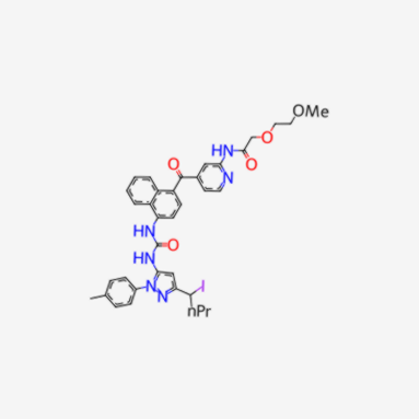 CCCC(I)c1cc(NC(=O)Nc2ccc(C(=O)c3ccnc(NC(=O)COCCOC)c3)c3ccccc23)n(-c2ccc(C)cc2)n1